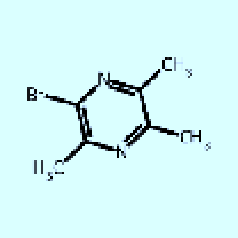 Cc1nc(C)c(Br)nc1C